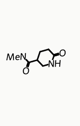 CNC(=O)C1CCC(=O)NC1